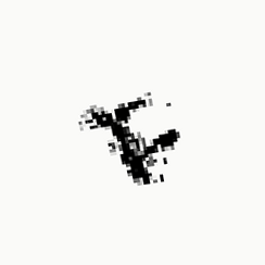 C=CCCCc1ccc(N(c2ccc(C(C)(C)CC)cc2)c2ccc(C(C)(CC)C(C)(CC)c3ccc4c(c3)C(CCCC)(CCCCCc3ccc5c(c3)CC5)c3cc(C(C)CC)ccc3-4)cc2)cc1